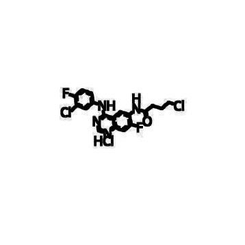 Cl.O=C(CCCCl)Nc1cc2c(Nc3ccc(F)c(Cl)c3)ncnc2cc1F